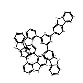 c1cc(-c2nc(-c3ccc4c(c3)sc3ccccc34)nc(-c3ccc4c(c3)sc3ccccc34)n2)c2c(c1)oc1ccc(-c3cccc4sc5cccc(-c6ccc7c(c6)sc6ccccc67)c5c34)cc12